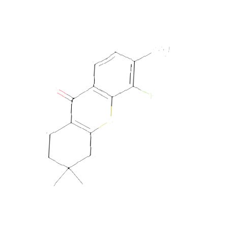 CC1(C)CCc2c(sc3c(F)c(C(=O)O)ccc3c2=O)C1